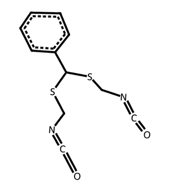 O=C=NCSC(SCN=C=O)c1ccccc1